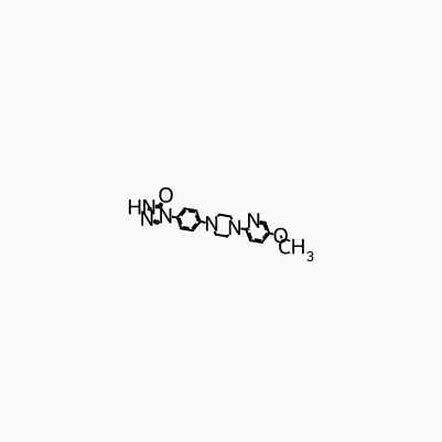 COc1ccc(N2CCN(c3ccc(-n4cn[nH]c4=O)cc3)CC2)nc1